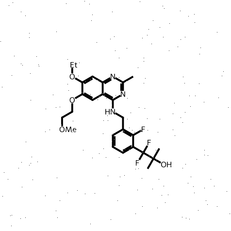 CCOc1cc2nc(C)nc(NCc3cccc(C(F)(F)C(C)(C)O)c3F)c2cc1OCCOC